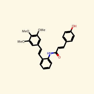 COc1cc(/C=C/c2ccccc2NC(=O)/C=C/c2ccc(O)cc2)cc(OC)c1OC